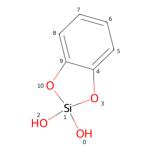 O[Si]1(O)Oc2ccccc2O1